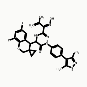 C=C(C)/C(=N\O)C(=O)NC(C(=O)Nc1ccc(-c2c(C)n[nH]c2C)cc1)C1c2cc(F)cc(F)c2OCC12CC2